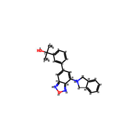 CC(C)(O)c1cccc(-c2cc(N3Cc4ccccc4C3)c3nonc3c2)c1